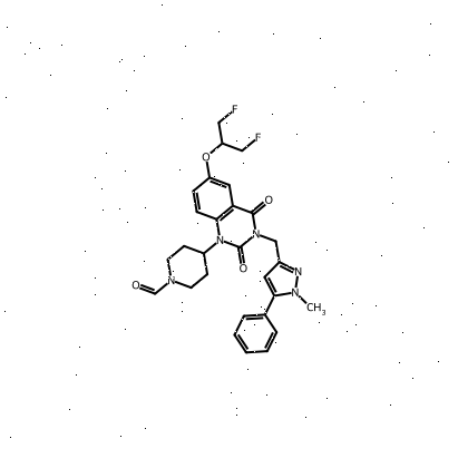 Cn1nc(Cn2c(=O)c3cc(OC(CF)CF)ccc3n(C3CCN(C=O)CC3)c2=O)cc1-c1ccccc1